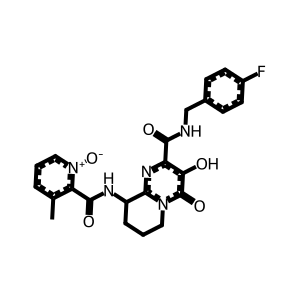 Cc1ccc[n+]([O-])c1C(=O)NC1CCCn2c1nc(C(=O)NCc1ccc(F)cc1)c(O)c2=O